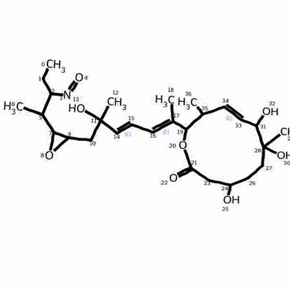 CCC(N=O)C(C)C1OC1CC(C)(O)/C=C/C=C(\C)C1OC(=O)CC(O)CCC(C)(O)C(O)/C=C/C1C